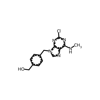 CNc1nc(Cl)nc2c1ncn2Cc1ccc(CO)cc1